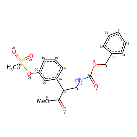 COC(=O)C(CNC(=O)OCc1ccccc1)c1cccc(OS(C)(=O)=O)c1